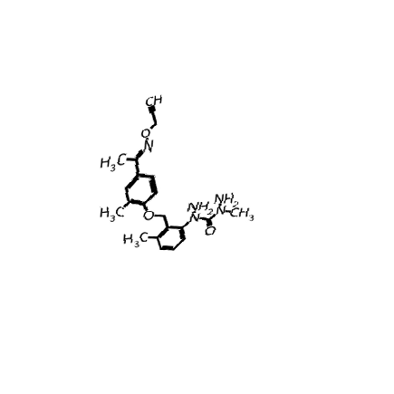 C#CCO/N=C(\C)c1ccc(OCc2c(C)cccc2N(N)C(=O)N(C)N)c(C)c1